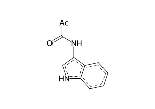 CC(=O)C(=O)Nc1c[nH]c2ccccc12